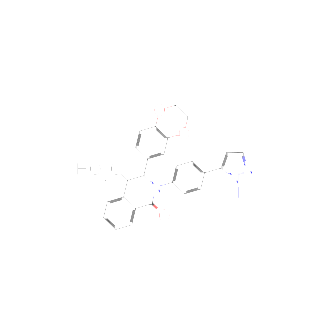 O=C(O)C1c2ccccc2C(=O)N(c2ccc(-c3ccn[nH]3)cc2)C1c1ccc2c(c1)OCCO2